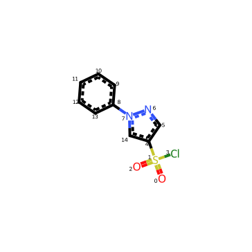 O=S(=O)(Cl)c1cnn(-c2ccccc2)c1